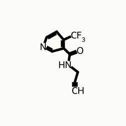 C#CCNC(=O)c1cnccc1C(F)(F)F